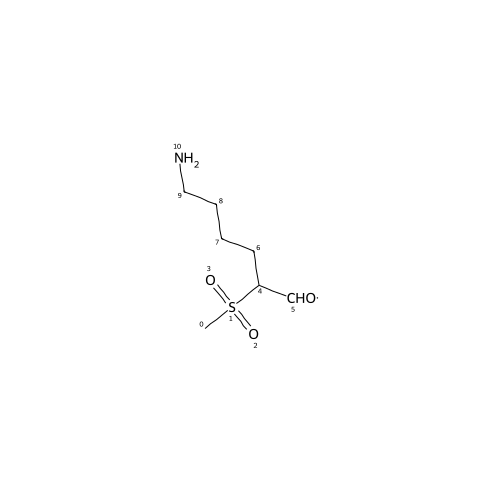 CS(=O)(=O)C([C]=O)CCCCN